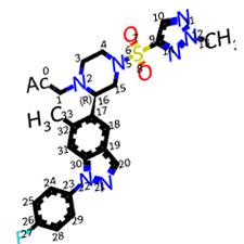 CC(=O)CN1CCN(S(=O)(=O)c2cnn(C)n2)C[C@H]1c1cc2cnn(-c3ccc(F)cc3)c2cc1C